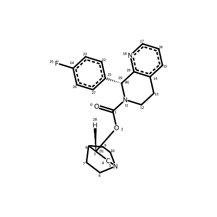 O=C(O[C@@H]1CN2CCC1CC2)N1CCc2cccnc2[C@H]1c1ccc(F)cc1